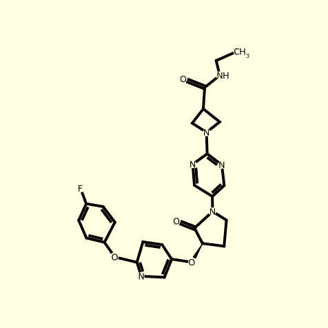 CCNC(=O)C1CN(c2ncc(N3CC[C@@H](Oc4ccc(Oc5ccc(F)cc5)nc4)C3=O)cn2)C1